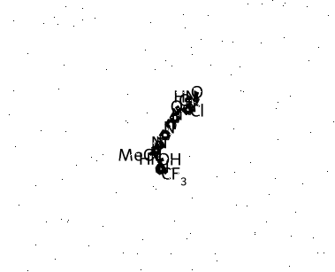 COc1cc2nn([C@H]3CC[C@@H](N4CCC5(CCN(C(=O)c6ccc(Cl)c(N7CCC(=O)NC7=O)c6)CC5)CC4)CC3)cc2cc1NC(O)c1cccc(C(F)(F)F)n1